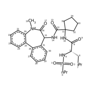 CCCS(=O)(=O)N[C@@H](CC(C)C)C(=O)NC1(C(=O)NC2C(=O)N(C)c3ccccc3-c3ccccc32)CCCC1